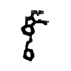 CCOC(=O)C1=Nc2ccc(OCc3ccccc3)cc2C1=[N+]=[N-]